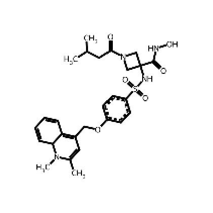 CC1=CC(COc2ccc(S(=O)(=O)NC3(C(=O)NO)CN(C(=O)CC(C)C)C3)cc2)=C2C=CC=CC2N1C